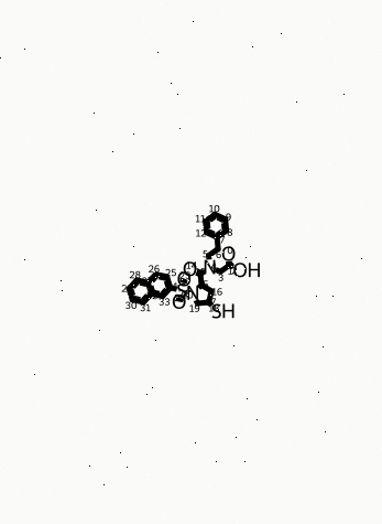 O=C(O)CN(CCc1ccccc1)C(=O)C1CC(S)CN1S(=O)(=O)c1ccc2ccccc2c1